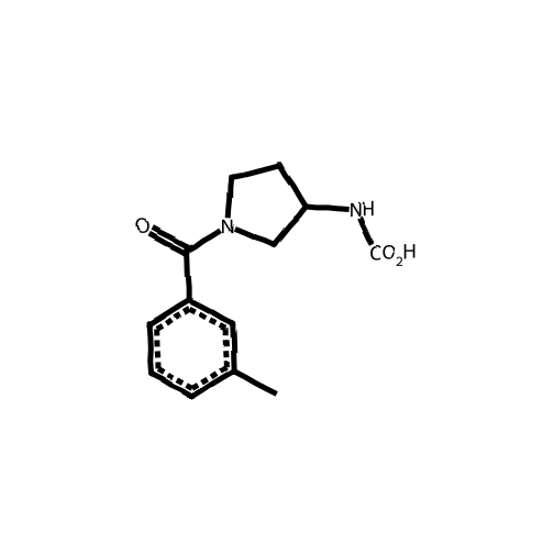 Cc1cccc(C(=O)N2CCC(NC(=O)O)C2)c1